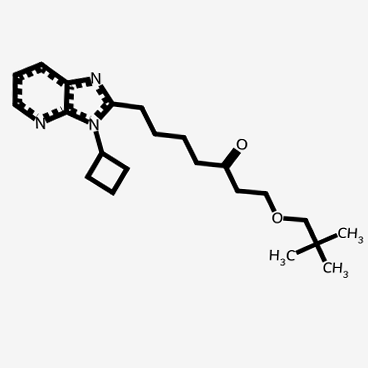 CC(C)(C)COCCC(=O)CCCCc1nc2cccnc2n1C1CCC1